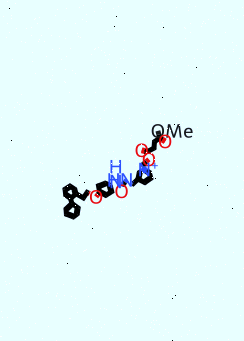 COC(=O)CCC(=O)OC[n+]1cccc(CNC(=O)Nc2ccc(OCCc3ccccc3-c3ccccc3)cc2)c1